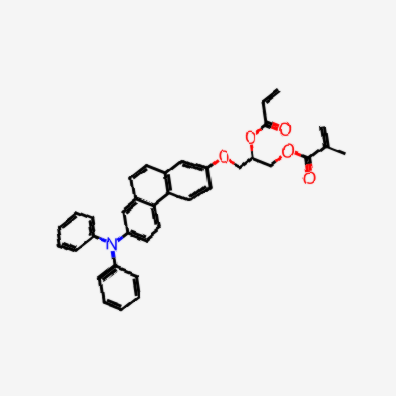 C=CC(=O)OC(COC(=O)C(=C)C)COc1ccc2c(ccc3cc(N(c4ccccc4)c4ccccc4)ccc32)c1